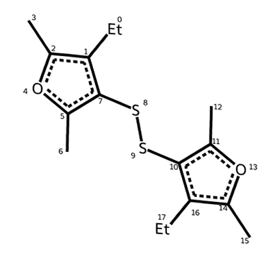 CCc1c(C)oc(C)c1SSc1c(C)oc(C)c1CC